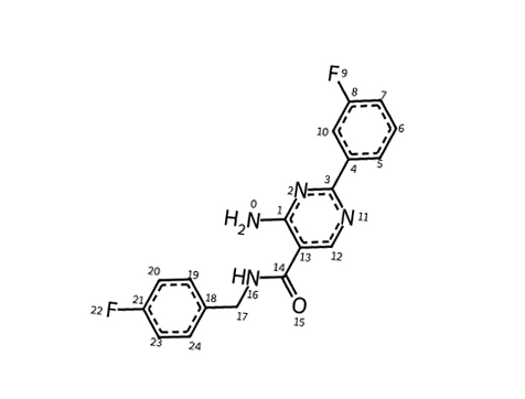 Nc1nc(-c2cccc(F)c2)ncc1C(=O)NCc1ccc(F)cc1